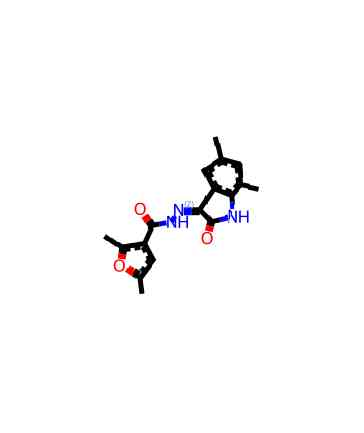 Cc1cc(C)c2c(c1)/C(=N/NC(=O)c1cc(C)oc1C)C(=O)N2